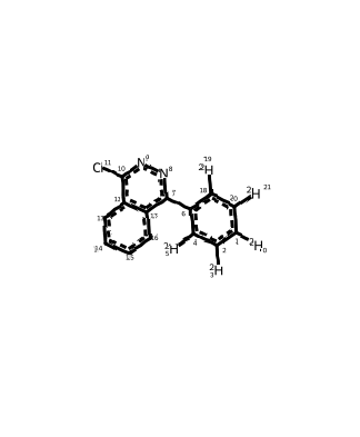 [2H]c1c([2H])c([2H])c(-c2nnc(Cl)c3ccccc23)c([2H])c1[2H]